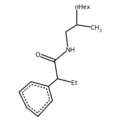 CCCC[CH]CC(C)CNC(=O)C(CC)c1ccccc1